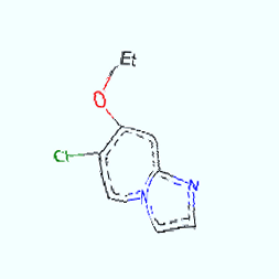 CCOc1cc2nccn2cc1Cl